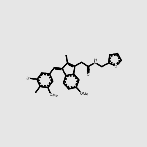 COc1ccc2c(c1)C(CC(=O)NCc1ccco1)=C(C)/C2=C/c1cc(Br)c(C)c(OC)c1